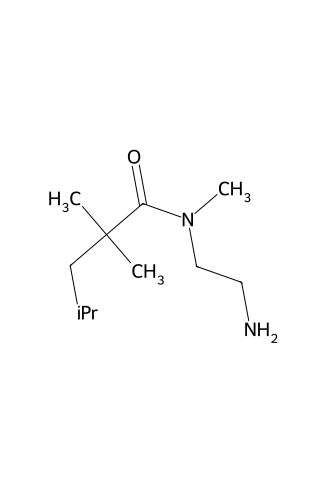 CC(C)CC(C)(C)C(=O)N(C)CCN